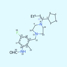 CC/C=C(/C1CCCC1)N1CCN(Cc2cc(F)cc(NC=O)c2C)CC1